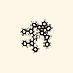 C\N=C(/N=C(\N=C\c1cc2c3c(c1)c1cc(-c4ccccc4)ccc1n3-c1ccccc1C2(c1ccccc1)c1ccccc1)c1cc(-c2ccccc2)cc(-c2ccccc2)c1)c1cc(-c2ccccc2)cc(-c2ccccc2)c1